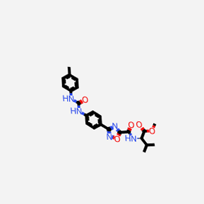 COC(=O)[C@@H](NC(=O)c1nc(-c2ccc(NC(=O)Nc3ccc(C)cc3)cc2)no1)C(C)C